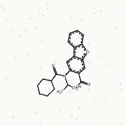 CC(C)N(C(=O)C1CCCCC1)c1cc2c(cc1C(=O)O)oc1ccccc12